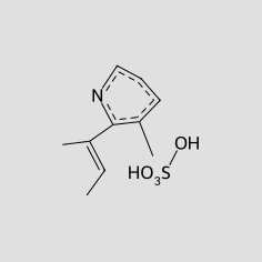 CC=C(C)c1ncccc1C.O=S(=O)(O)O